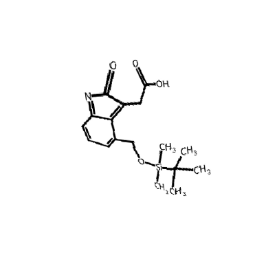 CC(C)(C)[Si](C)(C)OCc1cccc2c1=C(CC(=O)O)C(=O)N=2